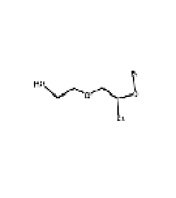 CCOC(CC)COCCO